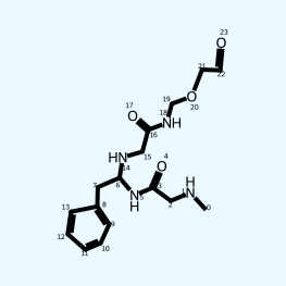 CNCC(=O)NC(Cc1ccccc1)NCC(=O)NCOCC=O